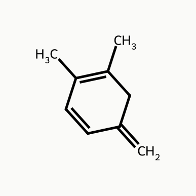 C=C1C=CC(C)=C(C)C1